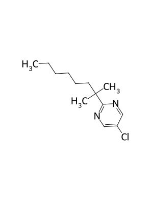 CCCCCCC(C)(C)c1ncc(Cl)cn1